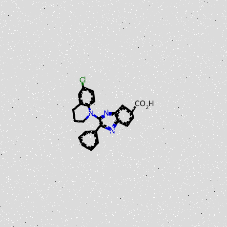 O=C(O)c1ccc2nc(-c3ccccc3)c(N3CCCc4cc(Cl)ccc43)nc2c1